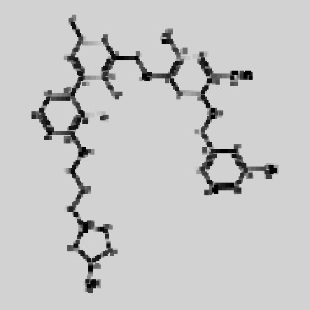 Cc1cc(COc2cc(OCc3cncc(C#N)c3)c(C=O)cc2Cl)c(C)c(-c2cccc(OCCCN3CCC(O)C3)c2C)c1